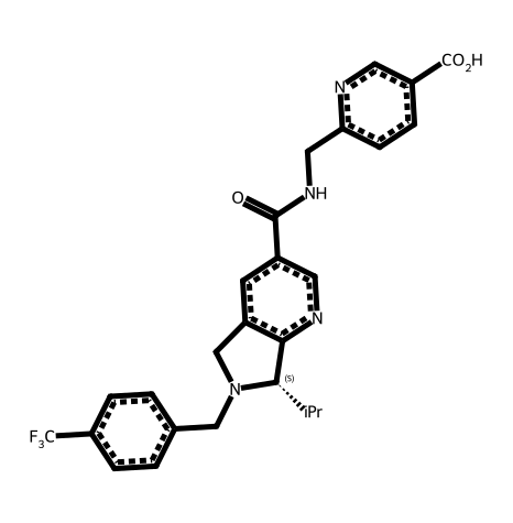 CC(C)[C@H]1c2ncc(C(=O)NCc3ccc(C(=O)O)cn3)cc2CN1Cc1ccc(C(F)(F)F)cc1